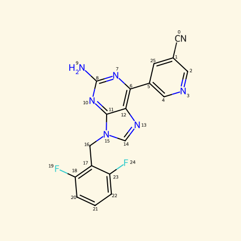 N#Cc1cncc(-c2nc(N)nc3c2ncn3Cc2c(F)cccc2F)c1